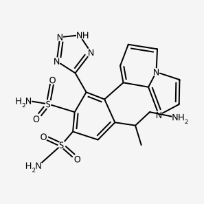 CC(CN)c1cc(S(N)(=O)=O)c(S(N)(=O)=O)c(-c2nn[nH]n2)c1-c1cccn2ccnc12